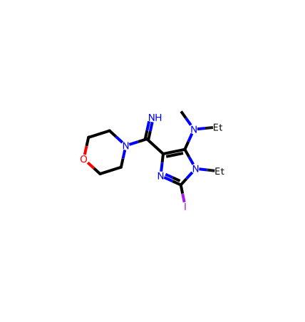 CCN(C)c1c(C(=N)N2CCOCC2)nc(I)n1CC